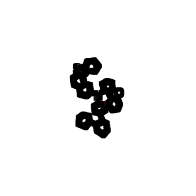 c1ccc(-c2ccccc2-c2ccc(N(c3ccc4ccc5sc6ccccc6c5c4c3)c3cccc4oc5ccccc5c34)cc2)cc1